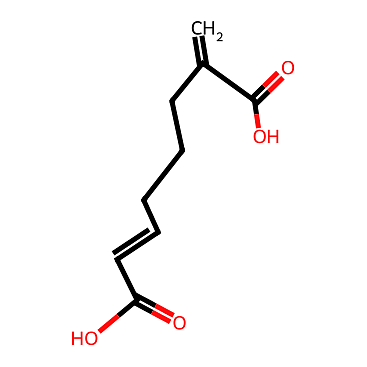 C=C(CCCC=CC(=O)O)C(=O)O